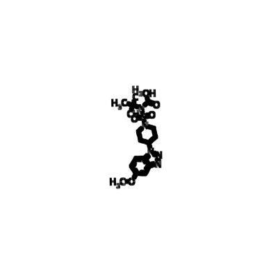 COc1ccc2c(c1)nnn2C1CCN(S(=O)(=O)N(C(=O)O)C(C)(C)C)CC1